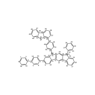 c1ccc(-c2ccc(-c3ccc4c5cc6c7ccccc7n(-c7ccccc7)c6cc5n(-c5ccc(-c6cccc7c6sc6ccccc67)cc5)c4c3)cc2)cc1